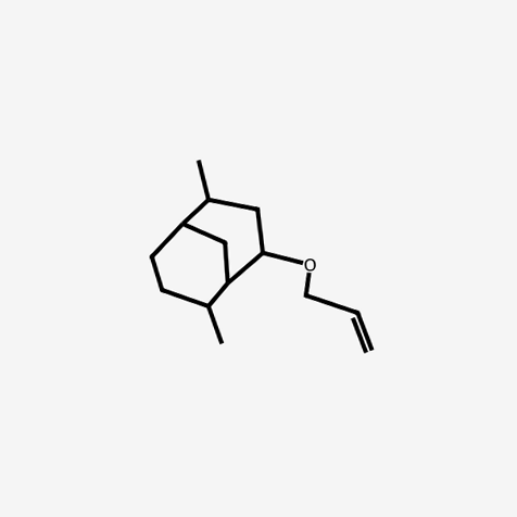 C=CCOC1CC(C)C2CCC(C)C1C2